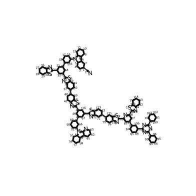 N#Cc1ccc2c(c1)c1ccccc1n2-c1cccc(-c2cc(-c3nc4ccccc4s3)cc(-c3nc4cc(-c5ccc6nc(-c7cc(-c8cccc(-n9c%10ccccc%10c%10cccnc%109)c8)cc(-c8nc9cc(-c%10ccc%11nc(-c%12cc(-c%13cccc(-c%14nc(-c%15ccccc%15)nc(-c%15ccccc%15)n%14)c%13)cc(-c%13nc%14ccccc%14s%13)n%12)sc%11c%10)ccc9s8)c7)sc6c5)ccc4s3)c2)c1